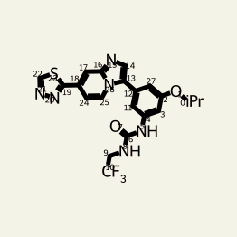 CC(C)Oc1cc(NC(=O)NCC(F)(F)F)cc(-c2cnc3cc(-c4nncs4)ccn23)c1